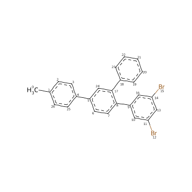 Cc1ccc(-c2ccc(-c3cc(Br)cc(Br)c3)c(-c3ccccc3)c2)cc1